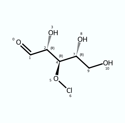 O=C[C@H](O)[C@H](OCl)[C@H](O)CO